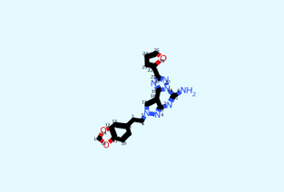 Nc1nc2nn(CCc3ccc4c(c3)OCO4)cc2c2nc(-c3ccco3)nn12